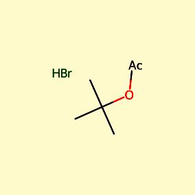 Br.CC(=O)OC(C)(C)C